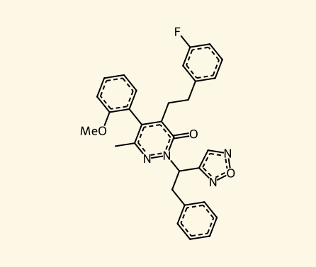 COc1ccccc1-c1c(C)nn(C(Cc2ccccc2)c2cnon2)c(=O)c1CCc1cccc(F)c1